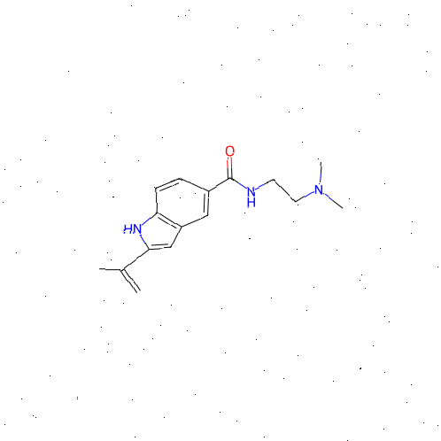 C=C(C)c1cc2cc(C(=O)NCCN(C)C)ccc2[nH]1